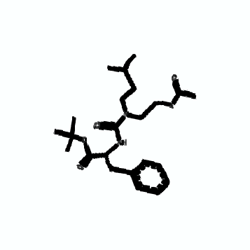 CC(=O)SCCN(CCC(C)C)C(=O)N[C@@H](Cc1ccccc1)C(=O)OC(C)(C)C